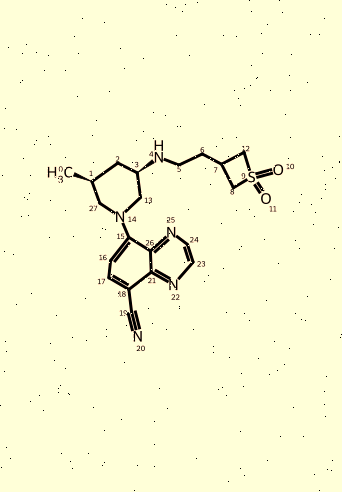 C[C@H]1C[C@@H](NCCC2CS(=O)(=O)C2)CN(c2ccc(C#N)c3nccnc23)C1